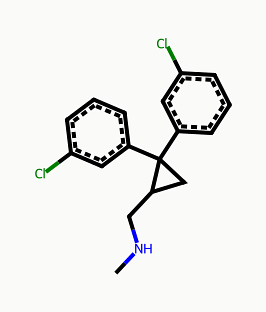 CNCC1CC1(c1cccc(Cl)c1)c1cccc(Cl)c1